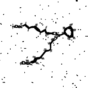 CCCCCCCCCCCCCCCCOB(OCCCCCCCCCCCCCCCC)c1ccccc1